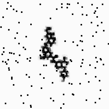 CC[C@@H]1CN(C(=O)Nc2ccc(CN3CCN(C)CC3)c(C(F)F)c2)Cc2cc(Oc3ccnc4[nH]c(CO)cc34)cnc21